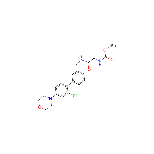 CN(Cc1cccc(-c2ccc(N3CCOCC3)cc2Cl)c1)C(=O)CNC(=O)OC(C)(C)C